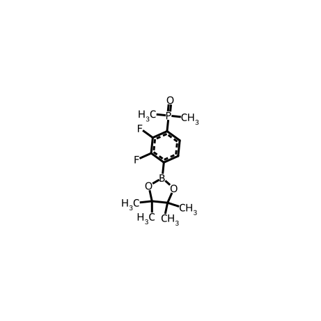 CC1(C)OB(c2ccc(P(C)(C)=O)c(F)c2F)OC1(C)C